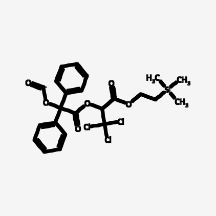 C[Si](C)(C)CCOC(=O)C(OC(=O)C(O[C]=O)(c1ccccc1)c1ccccc1)C(Cl)(Cl)Cl